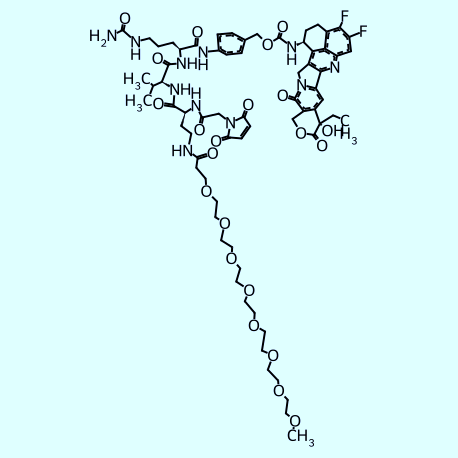 CC[C@@]1(O)C(=O)OCc2c1cc1n(c2=O)Cc2c-1nc1cc(F)c(F)c3c1c2[C@@H](NC(=O)OCc1ccc(NC(=O)[C@H](CCCNC(N)=O)NC(=O)[C@@H](NC(=O)[C@H](CCNC(=O)CCOCCOCCOCCOCCOCCOCCOCCOC)NC(=O)CN2C(=O)C=CC2=O)C(C)C)cc1)CC3